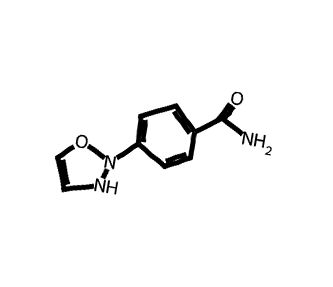 NC(=O)c1ccc(N2NC=CO2)cc1